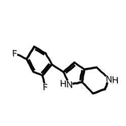 Fc1ccc(-c2cc3c([nH]2)CCNC3)c(F)c1